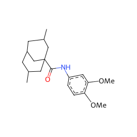 COc1ccc(NC(=O)C23CC(C)CC(CC(C)C2)C3)cc1OC